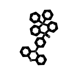 O=P1(c2ccc(N3c4ccccc4Oc4ccccc43)cc2)c2ccccc2[Si](c2ccccc2)(c2ccccc2)c2ccccc21